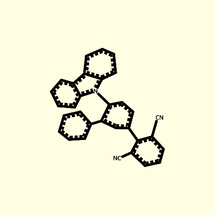 N#Cc1cccc(C#N)c1-c1ccc(-n2c3ccccc3c3ccccc32)c(-c2ccccc2)c1